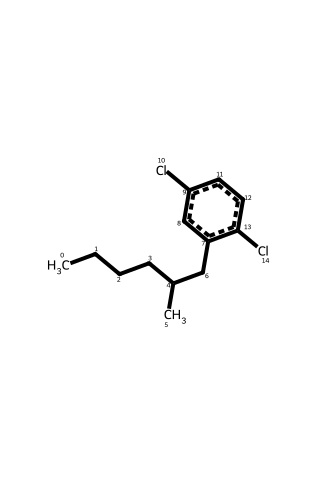 CCCCC(C)Cc1cc(Cl)ccc1Cl